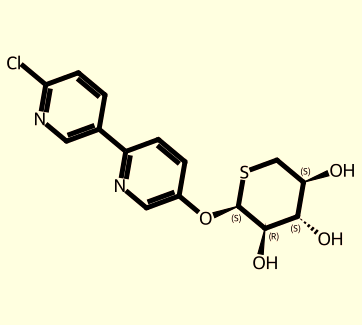 O[C@@H]1[C@@H](O)[C@@H](Oc2ccc(-c3ccc(Cl)nc3)nc2)SC[C@H]1O